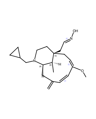 C=C1/C=C\C(OC)=C/C[C@@]2(C/C=N/O)CCN(CC3CC3)[C@H](C1)[C@@H]2C